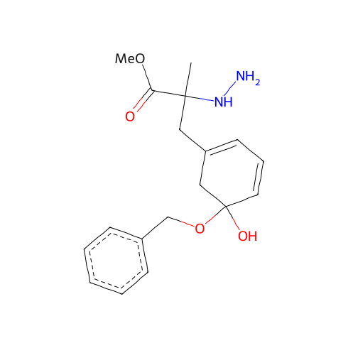 COC(=O)C(C)(CC1=CC=CC(O)(OCc2ccccc2)C1)NN